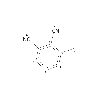 Cc1[c]ccc(C#N)c1C#N